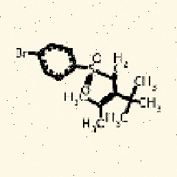 C=C(C(=C(C)C)C(C)(C)C)S(=O)(=O)c1ccc(Br)cc1